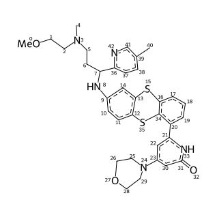 COCCN(C)CCC(Nc1ccc2c(c1)Sc1cccc(-c3cc(N4CCOCC4)cc(=O)[nH]3)c1S2)c1ccc(C)cn1